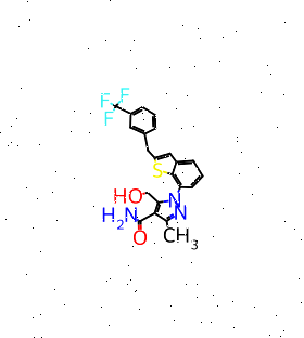 Cc1nn(-c2cccc3cc(Cc4cccc(C(F)(F)F)c4)sc23)c(CO)c1C(N)=O